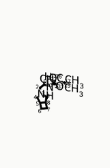 C[C@H](CN1CC2CCC2C1)NC(=O)OC(C)(C)C